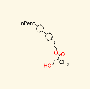 C=C(CCO)C(=O)OCCCc1ccc(-c2ccc(CCCCC)cc2)cc1